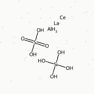 O=S(=O)(O)O.O[Si](O)(O)O.[AlH3].[Ce].[La]